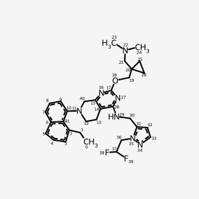 CCc1cccc2cccc(N3CCc4c(nc(OCC5(CN(C)C)CC5)nc4NCc4ccnn4CC(F)F)C3)c12